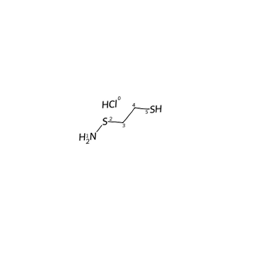 Cl.NSCCS